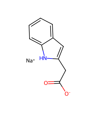 O=C([O-])Cc1cc2ccccc2[nH]1.[Na+]